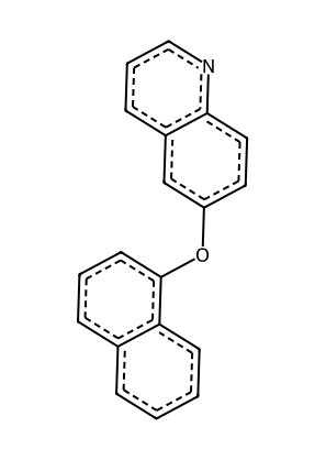 c1cnc2ccc(Oc3cccc4ccccc34)cc2c1